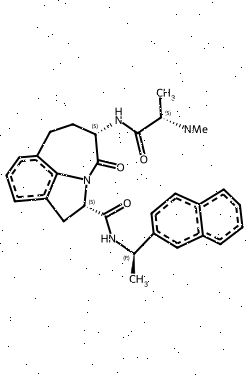 CN[C@@H](C)C(=O)N[C@H]1CCc2cccc3c2N(C1=O)[C@H](C(=O)N[C@H](C)c1ccc2ccccc2c1)C3